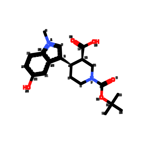 Cn1cc([C@H]2CCN(C(=O)OC(C)(C)C)C[C@@H]2C(=O)O)c2cc(O)ccc21